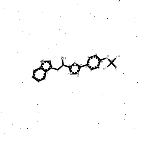 OC(Cc1c[nH]c2ccccc12)c1nc(-c2ccc(OC(F)(F)F)cc2)no1